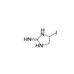 N=C1NCC(I)N1